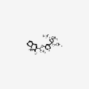 CCC(COC)(OC)c1cncc(OC(C)c2cc3ccccc3[nH]c2=O)c1